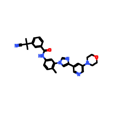 Cc1ccc(NC(=O)c2cccc(C(C)(C)C#N)c2)cc1-n1cnc(-c2cncc(N3CCOCC3)c2)c1